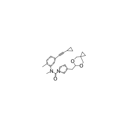 Cc1ccc(C#CC2CC2)cc1N(C)C(=O)n1ccc(CC2OCC3(CC3)CO2)c1